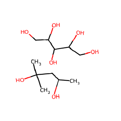 CC(O)CC(C)(C)O.OCC(O)C(O)C(O)CO